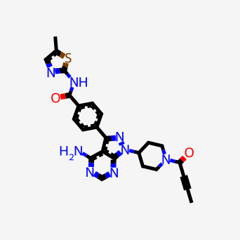 CC#CC(=O)N1CCC(n2nc(-c3ccc(C(=O)Nc4ncc(C)s4)cc3)c3c(N)ncnc32)CC1